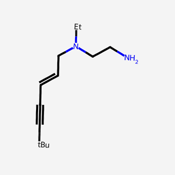 CCN(C/C=C/C#CC(C)(C)C)CCN